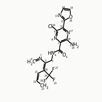 C=N/C(CNC(=O)c1nc(Cl)c(-c2ncco2)nc1N)=C(\C=C/C)C(F)(F)F